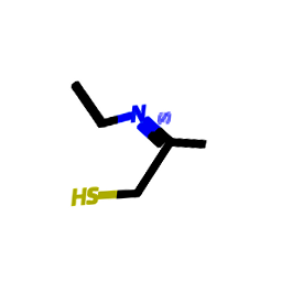 CC/N=C(/C)CS